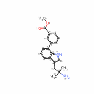 COC(=O)c1cccc(-c2cccc3c(CC(C)(C)N)c[nH]c23)c1